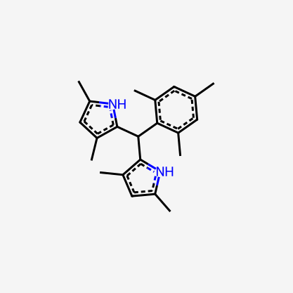 Cc1cc(C)c(C(c2[nH]c(C)cc2C)c2[nH]c(C)cc2C)c(C)c1